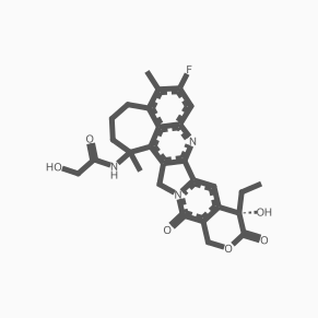 CC[C@@]1(O)C(=O)OCc2c1cc1n(c2=O)Cc2c-1nc1cc(F)c(C)c3c1c2C(C)(NC(=O)CO)CCC3